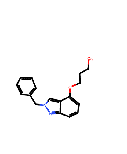 OCCCOc1cccc2nn(Cc3ccccc3)cc12